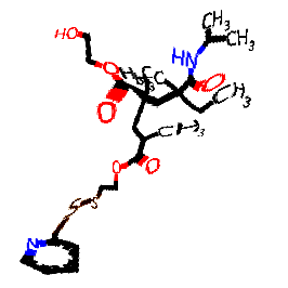 CCC(C)(CC(C)(CC(C)C(=O)OCCSSc1ccccn1)C(=O)OCCO)C(=O)NC(C)C